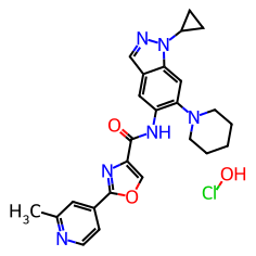 Cc1cc(-c2nc(C(=O)Nc3cc4cnn(C5CC5)c4cc3N3CCCCC3)co2)ccn1.OCl